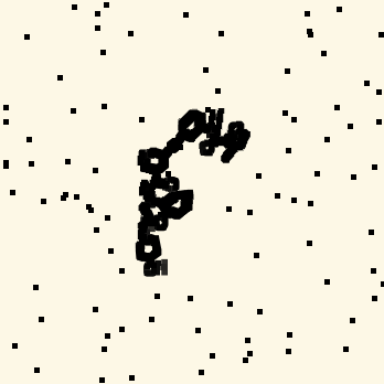 Cc1ccoc1C(=O)Nc1cccc(C#Cc2cncc(C(=O)N=S(CCCN3CCC(O)CC3)c3ccccc3O)c2)c1